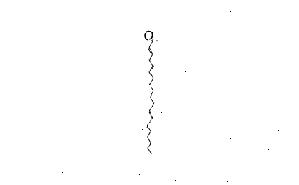 CCCCCCCCCCCCCCCCC=C[C]=O